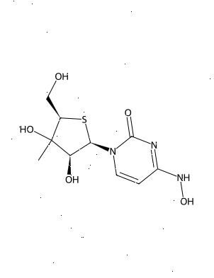 CC1(O)[C@H](O)[C@H](n2ccc(NO)nc2=O)S[C@@H]1CO